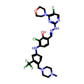 CN1CCN(Cc2ccc(Nc3ccc(/C=N/Nc4ncc(F)c(N5CCOCC5)n4)c(O)c3Cl)cc2C(F)(F)F)CC1